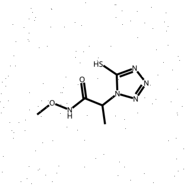 CONC(=O)C(C)n1nnnc1S